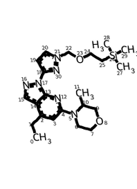 CCc1cc(N2CCOCC2C)nc2c1cnn2-c1ccn(COCC[Si](C)(C)C)n1